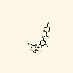 NC1=N[C@@]2(Cc3c(F)cc(NC(=O)c4ccc(Cl)cn4)cc32)[C@@H]2C[C@]2(CF)S1